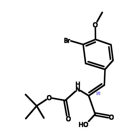 COc1ccc(/C=C(\NC(=O)OC(C)(C)C)C(=O)O)cc1Br